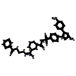 Cc1ccc(-c2cc(C(F)(F)F)nn2-c2ccc(S(=O)(=O)NC(=O)C3CCCN(/[N+]([O-])=N\OCOC(=O)c4ccccc4)C3)cc2)cc1